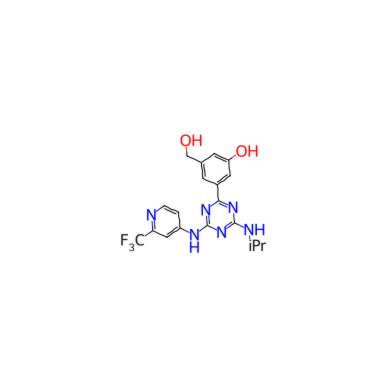 CC(C)Nc1nc(Nc2ccnc(C(F)(F)F)c2)nc(-c2cc(O)cc(CO)c2)n1